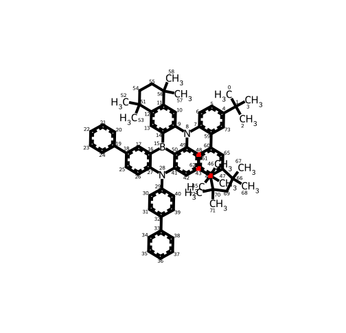 CC(C)(C)c1ccc(N2c3cc4c(cc3B3c5cc(-c6ccccc6)ccc5N(c5ccc(-c6ccccc6)cc5)c5cc(C(C)(C)C)cc2c53)C(C)(C)CCC4(C)C)c(-c2ccc3c(c2)C(C)(C)CC3(C)C)c1